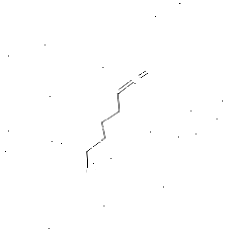 [CH2]CCCCCC[C]=C=O